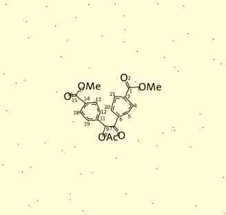 COC(=O)c1ccc(C(=O)C(OC(C)=O)c2ccc(C(=O)OC)cc2)cc1